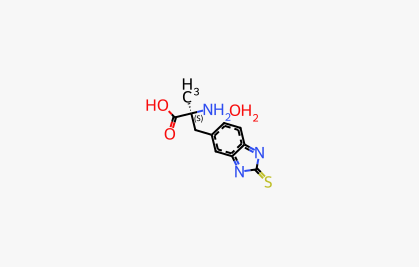 C[C@](N)(Cc1ccc2c(c1)=NC(=S)N=2)C(=O)O.O